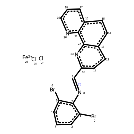 Brc1cccc(Br)c1/N=C/c1ccc2ccc3cccnc3c2n1.[Cl-].[Cl-].[Fe+2]